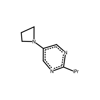 CC(C)c1ncc(N2CCC2)cn1